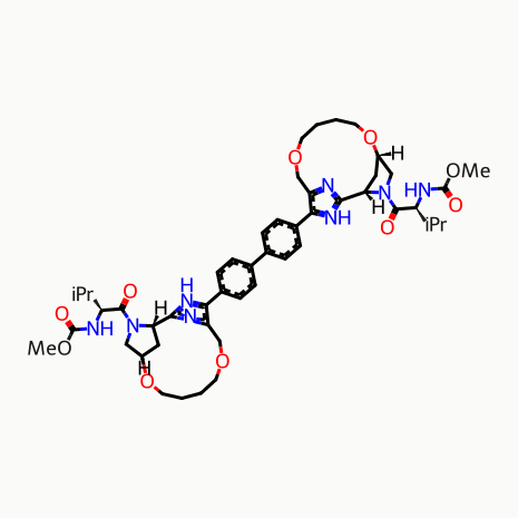 COC(=O)N[C@H](C(=O)N1C[C@@H]2C[C@H]1c1nc(c(-c3ccc(-c4ccc(-c5[nH]c6nc5COCCCCO[C@H]5C[C@@H]6N(C(=O)[C@@H](NC(=O)OC)C(C)C)C5)cc4)cc3)[nH]1)COCCCCO2)C(C)C